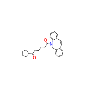 O=C(CCCCC(=O)N1Cc2ccccc2C#Cc2ccccc21)C1CCCC1